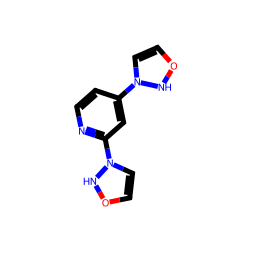 C1=CN(c2ccnc(N3C=CON3)c2)NO1